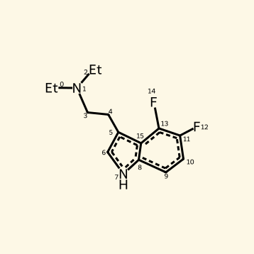 CCN(CC)CCc1c[nH]c2ccc(F)c(F)c12